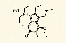 CCCn1c(CC)nc2c1c(=O)n(C)c(=O)n2C.CCNCC.Cl